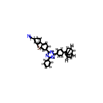 N#Cc1ccc2c(c1)sc1cc(-c3nc(-c4ccccc4)nc(-c4ccc(C56C[C@H]7C[C@H](C5)C[C@@H](C6)C7)cc4)n3)ccc12